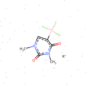 Cn1cc([B-](F)(F)F)c(=O)n(C)c1=O.[K+]